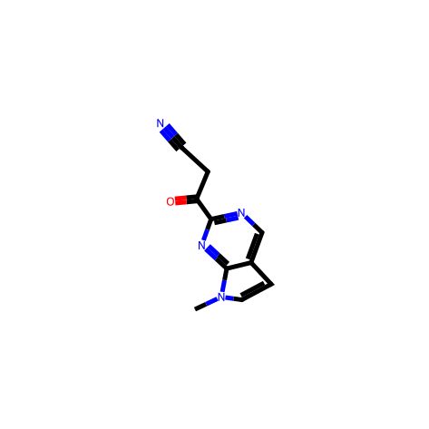 Cn1ccc2cnc(C(=O)CC#N)nc21